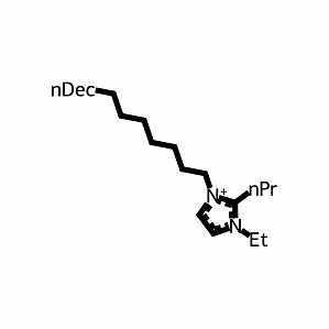 CCCCCCCCCCCCCCCCC[n+]1ccn(CC)c1CCC